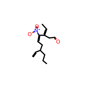 C=CC(C/C=C(\C(=C/C)CC=O)[N+](=O)[O-])CCC